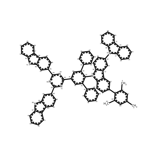 Cc1cc(C)c(-c2ccc3c(c2)c2cc(-n4c5ccccc5c5ccccc54)ccc2n3-c2c(-c3ccccc3)cc(-c3nc(-c4ccc5c(c4)sc4ccccc45)nc(-c4ccc5c(c4)sc4ccccc45)n3)cc2-c2ccccc2)c(C)c1